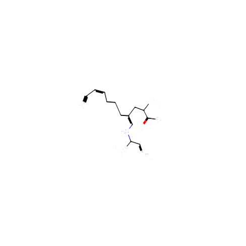 C#C/C=C\CCC/C(=C\NC(C)C=C)CC(C)C(=O)CC